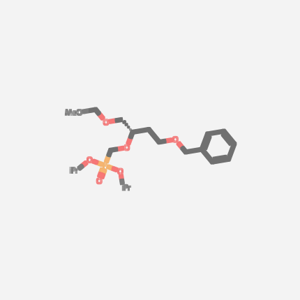 COCOC[C@H](CCOCc1ccccc1)OCP(=O)(OC(C)C)OC(C)C